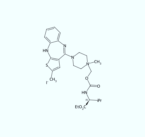 CCOC(=O)[C@@H](NC(=O)OC[N+]1(C)CCN(C2=Nc3ccccc3Nc3sc(C)cc32)CC1)C(C)C.[I-]